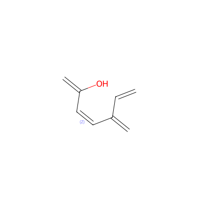 C=CC(=C)/C=C\C(=C)O